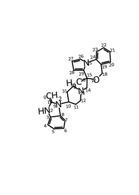 C=C1Nc2ccccc2N1C1CCN(CC2(C)OCc3ccccc3-n3cccc32)CC1